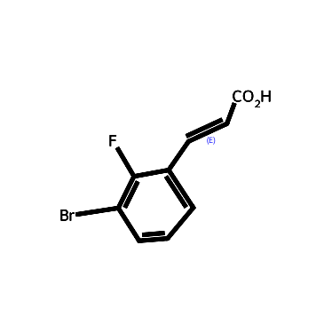 O=C(O)/C=C/c1cccc(Br)c1F